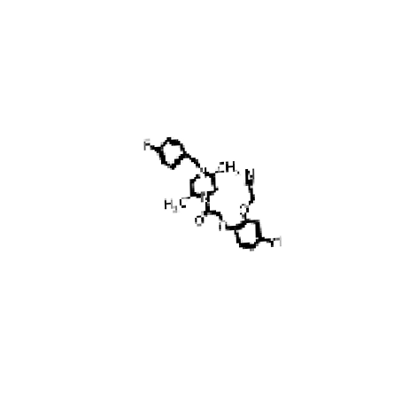 C[C@@H]1CN(Cc2ccc(F)cc2)[C@@H](C)CN1C(=O)COc1ccc(Cl)cc1OCC#N